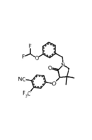 CC1(C)CN(Cc2cccc(OC(F)F)c2)C(=O)C1Oc1ccc(C#N)c(C(F)(F)F)c1